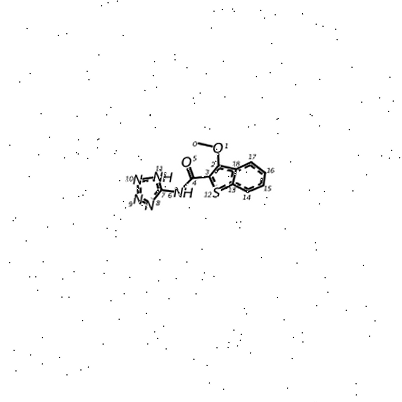 COc1c(C(=O)Nc2nnn[nH]2)sc2ccccc12